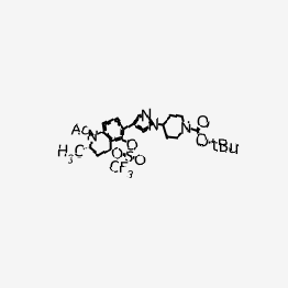 CC(=O)N1c2ccc(-c3cnn(C4CCN(C(=O)OC(C)(C)C)CC4)c3)c(OS(=O)(=O)C(F)(F)F)c2CC[C@@H]1C